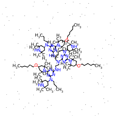 CCCCCCOC1CC(C)(C)N(c2nc(NCCN(CCNc3nc(N(CCCC)C4CC(C)(C)NC(C)(C)C4)nc(N4C(C)(C)CC(OCCCCCC)CC4(C)C)n3)c3nc(N(CCCC)C4CC(C)(C)NC(C)(C)C4)nc(N4C(C)(C)CC(OCCCCCC)CC4(C)C)n3)nc(N(CCCC)C3CC(C)(C)NC(C)(C)C3)n2)C(C)(C)C1